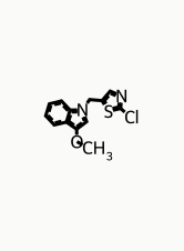 COc1cn(Cc2cnc(Cl)s2)c2ccccc12